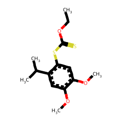 CCOC(=S)Sc1cc(OC)c(OC)cc1C(C)C